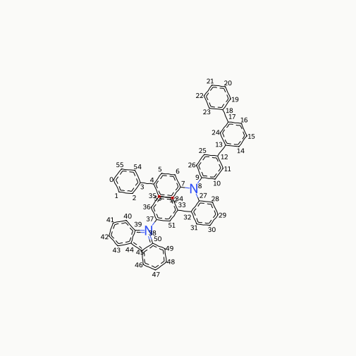 c1ccc(-c2ccc(N(c3ccc(-c4cccc(-c5ccccc5)c4)cc3)c3ccccc3-c3cccc(-n4c5ccccc5c5ccccc54)c3)cc2)cc1